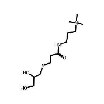 C[N+](C)(C)CCCNC(=O)CCSCC(O)CO